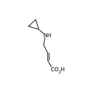 O=C(O)C=CCNC1CC1